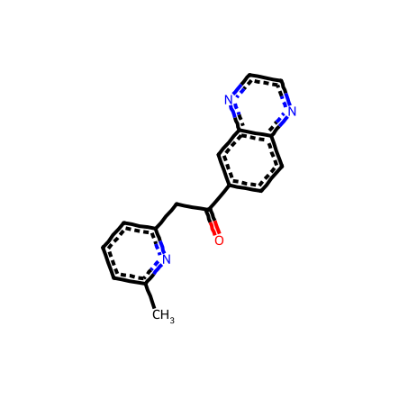 Cc1cccc(CC(=O)c2ccc3nccnc3c2)n1